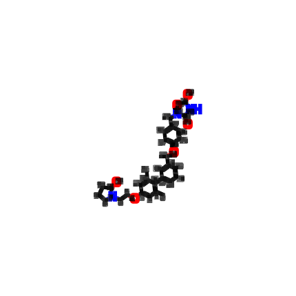 Cc1cc(OCCN2CCCC2=O)cc(C)c1-c1cccc(COc2ccc(Cn3oc(=O)[nH]c3=O)cc2)c1